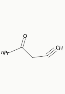 C#CCC(=O)CC[CH2]